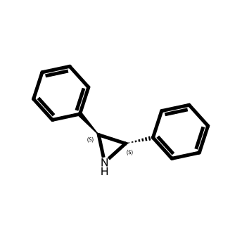 c1ccc([C@@H]2N[C@H]2c2ccccc2)cc1